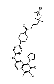 CC[SiH](C)O[Si](C)(C)CCCC(=O)N1CCN(c2ccc(Nc3ncc4c(C)c(C(C)=O)c(=O)n(C5CCCC5)c4n3)nc2)CC1